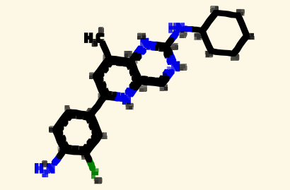 Cc1cc(-c2ccc(N)c(F)c2)nc2cnc(NC3CCCCC3)nc12